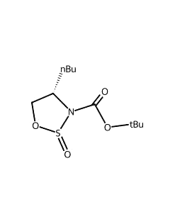 CCCC[C@H]1COS(=O)N1C(=O)OC(C)(C)C